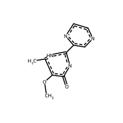 COc1c(C)[nH]c(-c2cnccn2)nc1=O